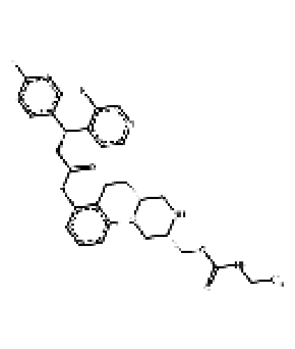 O=C(C[C@@H](c1ccc(F)cc1)c1ccncc1F)Nc1cccc(F)c1CC[C@@H]1CN[C@H](COC(=O)NCC(F)(F)F)CO1